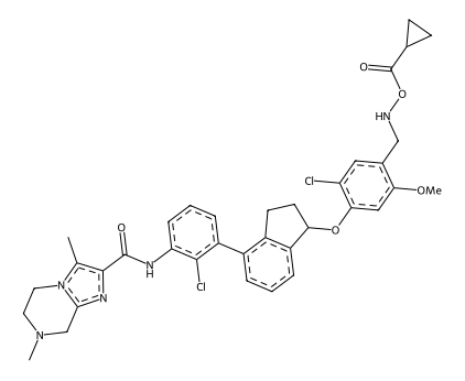 COc1cc(OC2CCc3c(-c4cccc(NC(=O)c5nc6n(c5C)CCN(C)C6)c4Cl)cccc32)c(Cl)cc1CNOC(=O)C1CC1